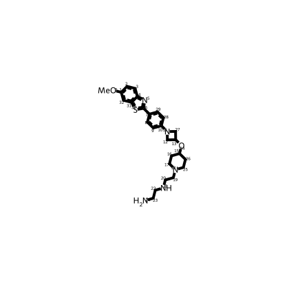 COc1ccc2nc(-c3ccc(N4CC(OC5CCN(CCNCCN)CC5)C4)cc3)sc2c1